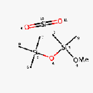 CO[Si](C)(C)O[Si](C)(C)C.O=[Si]=O